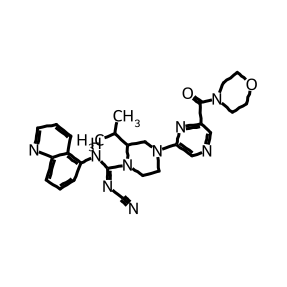 CC(C)C1CN(c2cncc(C(=O)N3CCOCC3)n2)CCN1/C(=N\C#N)Nc1cccc2ncccc12